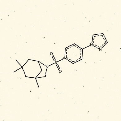 CC1(C)CC2CC(C)(CN2S(=O)(=O)c2ccc(-n3cccn3)cc2)C1